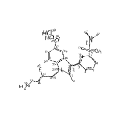 Cc1c(-c2cccc(S(=O)(=O)N(C)C)n2)c2cc(Cl)ccc2n1CC(F)=CCN.Cl.Cl